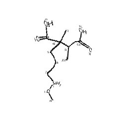 CO[SiH2]CCCC(C)(C(=O)O)C(C)C(=O)O